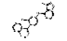 Cc1ccccc1C(=NO)c1ccc(Nc2cccc3ccn(C)c23)cc1Cl